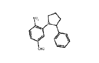 O=Cc1ccc([N+](=O)[O-])c(N2CCCC2c2ccccc2)c1